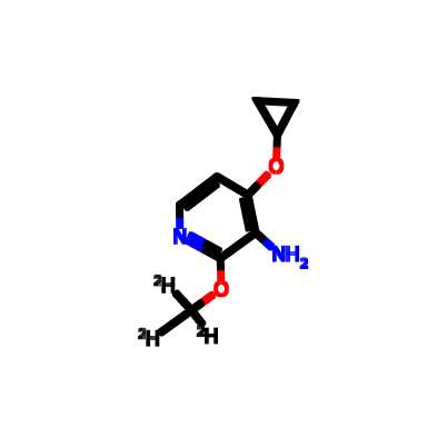 [2H]C([2H])([2H])Oc1nccc(OC2CC2)c1N